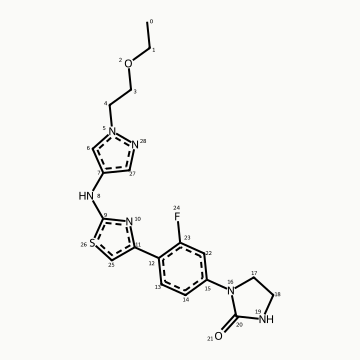 CCOCCn1cc(Nc2nc(-c3ccc(N4CCNC4=O)cc3F)cs2)cn1